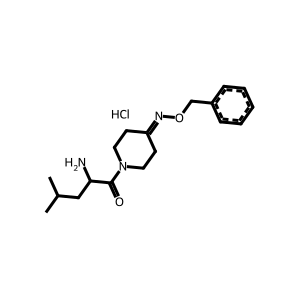 CC(C)CC(N)C(=O)N1CCC(=NOCc2ccccc2)CC1.Cl